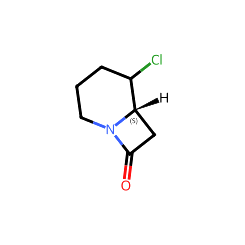 O=C1C[C@H]2C(Cl)CCCN12